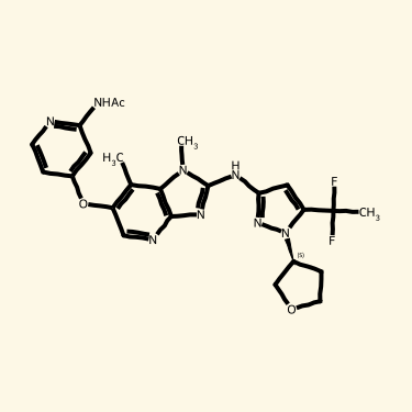 CC(=O)Nc1cc(Oc2cnc3nc(Nc4cc(C(C)(F)F)n([C@H]5CCOC5)n4)n(C)c3c2C)ccn1